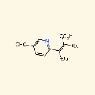 CC(C)(C)C(C(=O)O)=C(c1ccc(C=O)cn1)C(C)(C)C